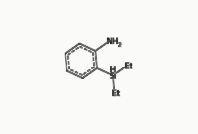 CC[SiH](CC)c1ccccc1N